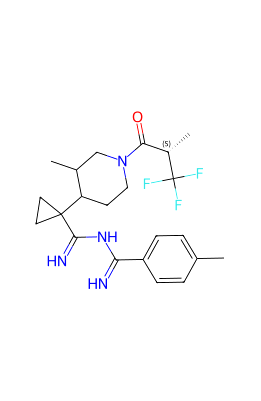 Cc1ccc(C(=N)NC(=N)C2(C3CCN(C(=O)[C@H](C)C(F)(F)F)CC3C)CC2)cc1